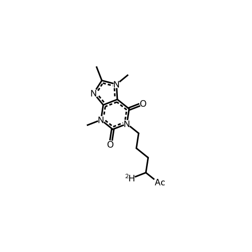 [2H]C(CCCn1c(=O)c2c(nc(C)n2C)n(C)c1=O)C(C)=O